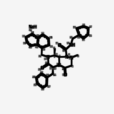 C[C@H]1C2N(C(=O)CN(C)N2C(=O)NCc2ccccc2)[C@@H](Cc2cc[c]cc2)C(=O)N1Cc1cccc2ccccc12.[NaH]